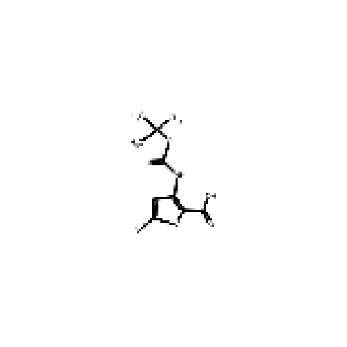 CC(C)(C)OC(=O)Nc1cc(Br)sc1C(=O)O